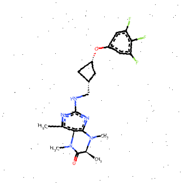 Cc1nc(NC[C@H]2C[C@@H](Oc3cc(F)c(F)c(F)c3)C2)nc2c1N(C)C(=O)[C@H](C)N2C